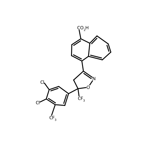 O=C(O)c1ccc(C2=NOC(c3cc(Cl)c(Cl)c(C(F)(F)F)c3)(C(F)(F)F)C2)c2ccccc12